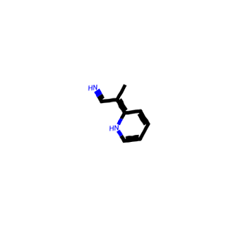 C/C(C=N)=C1\C=CC=CN1